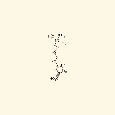 C[Si](C)(C)CCOCOc1cc(C(=O)O)on1